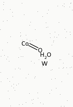 O.[O]=[Co].[W]